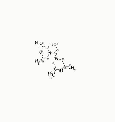 CC1CN(C(CO)N2CC(C)OC(C)C2)CC(C)O1